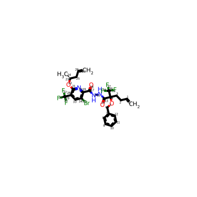 C=CCCC(OCc1ccccc1)(C(=O)NNC(=O)c1nc(O[C@H](C)CC=C)c(C(F)(F)F)cc1Br)C(F)(F)F